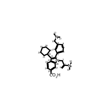 C=C(Cn1c(-c2cccc(CN(C)C)c2)c(C2CCCCC2)c2ccc(C(=O)O)cc21)N(C)C